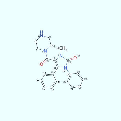 Cn1c(C(=O)N2CCNCC2)c(-c2ccccc2)n(-c2ccccc2)c1=O